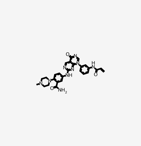 C=CC(=O)Nc1cccc(-n2cnc(=O)c3cnc(Nc4ccc(N5CCN(C)CC5)c(C(N)=O)c4)nc32)c1